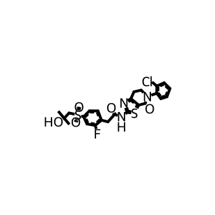 CC(C)(O)CS(=O)(=O)c1ccc(CC(=O)Nc2nc3c(s2)C(=O)N(c2ccccc2Cl)CC3)c(F)c1